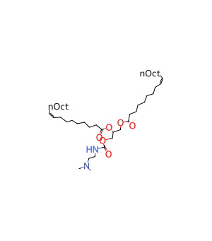 CCCCCCCC/C=C\CCCCCCCC(=O)OCC(COC(=O)NCCN(C)C)OC(=O)CCCCCCC/C=C\CCCCCCCC